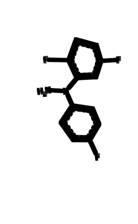 NN(c1ccc(F)cc1)c1cc(F)ccc1F